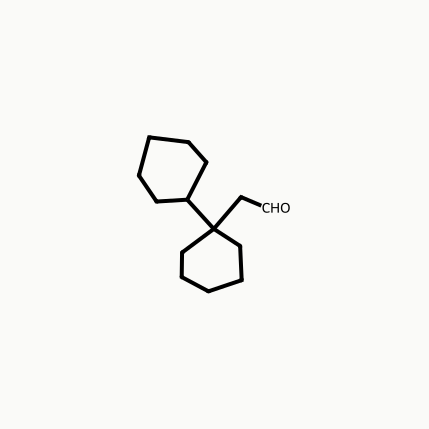 O=CCC1(C2CCCCC2)CCCCC1